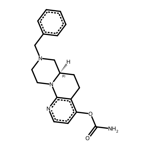 NC(=O)Oc1ccnc2c1CC[C@@H]1CN(Cc3ccccc3)CCN21